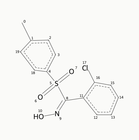 Cc1ccc(S(=O)(=O)C(=NO)c2ccccc2Cl)cc1